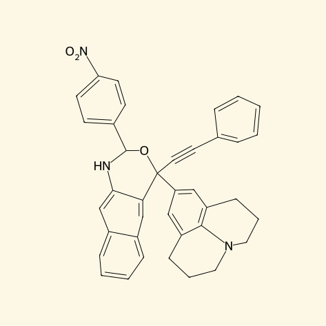 O=[N+]([O-])c1ccc(C2Nc3cc4ccccc4cc3C(C#Cc3ccccc3)(c3cc4c5c(c3)CCCN5CCC4)O2)cc1